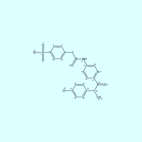 CCS(=O)(=O)c1ccc(CC(=O)Nc2ccc(C(=O)C(C)c3ccc(Cl)cc3)nc2)cc1